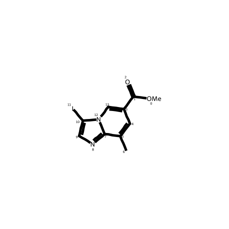 COC(=O)c1cc(C)c2ncc(I)n2c1